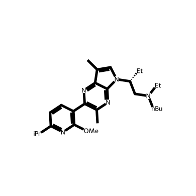 CCCCN(CC)C[C@@H](CC)n1cc(C)c2nc(-c3ccc(C(C)C)nc3OC)c(C)nc21